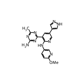 COc1ccc(Nc2ncc(-c3cn[nH]c3)cc2-c2nc(C)nc(N)n2)cn1